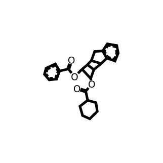 O=C(OC1C(OC(=O)C2CCCCC2)C2C3c4ccccc4CC3C12)c1ccccc1